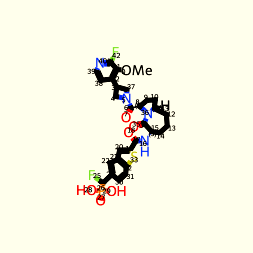 COc1c(C2CN(C(=O)[C@@H]3CC[C@@H]4CCC[C@H](NC(=O)c5cc6cc(C(F)P(=O)(O)O)ccc6s5)C(=O)N43)C2)ccnc1F